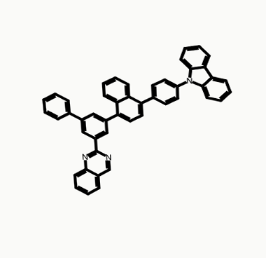 c1ccc(-c2cc(-c3ncc4ccccc4n3)cc(-c3ccc(-c4ccc(-n5c6ccccc6c6ccccc65)cc4)c4ccccc34)c2)cc1